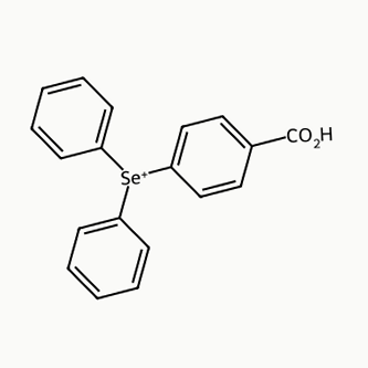 O=C(O)c1ccc([Se+](c2ccccc2)c2ccccc2)cc1